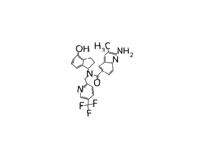 Cc1cc2cc(C(=O)N(Cc3ccc(C(F)(F)F)cn3)C3CCc4c(O)cccc43)ccc2nc1N